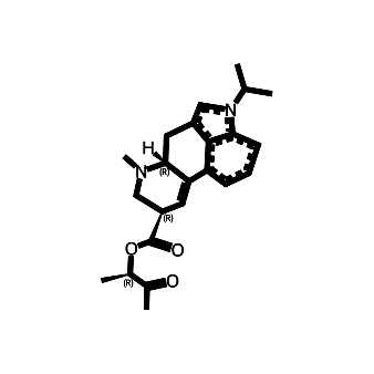 CC(=O)[C@@H](C)OC(=O)[C@@H]1C=C2c3cccc4c3c(cn4C(C)C)C[C@H]2N(C)C1